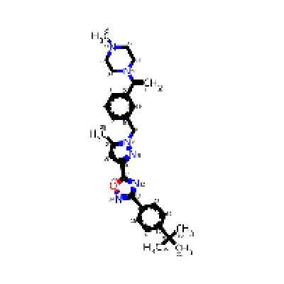 C=C(c1cccc(Cn2nc(-c3nc(-c4ccc(C(C)(C)C)cc4)no3)cc2C)c1)N1CCN(C)CC1